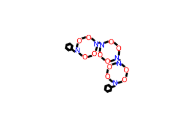 c1ccc(CN2CCOCCOCCN(CN3CCOCCOCCN(CN4CCOCCOCCN(Cc5ccccc5)CCOCCOCC4)CCOCCOCC3)CCOCCOCC2)cc1